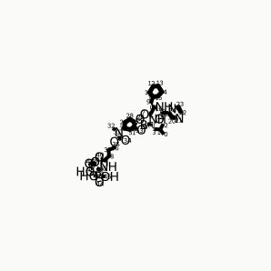 CC(C)C[C@@H](NC(=O)[C@@H](Cc1ccccc1)NC(=O)c1cnccn1)B1Oc2ccc(N(C)C(=O)OCCCC(=O)NC(P(=O)(O)O)P(=O)(O)O)cc2O1